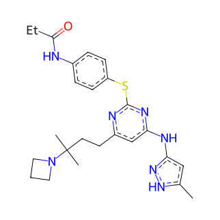 CCC(=O)Nc1ccc(Sc2nc(CCC(C)(C)N3CCC3)cc(Nc3cc(C)[nH]n3)n2)cc1